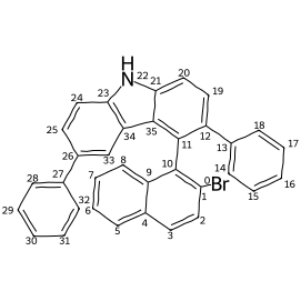 Brc1ccc2ccccc2c1-c1c(-c2ccccc2)ccc2[nH]c3ccc(-c4ccccc4)cc3c12